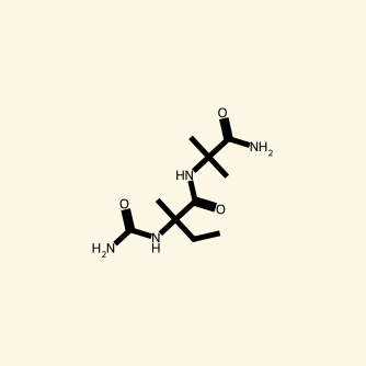 CCC(C)(NC(N)=O)C(=O)NC(C)(C)C(N)=O